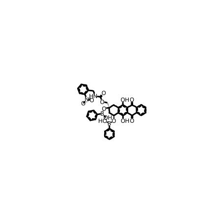 O=C(NCc1ccccc1[N+](=O)[O-])OC[C@]1(OB(O)c2ccccc2)Cc2c(O)c3c(c(O)c2[C@@H](OB(O)c2ccccc2)C1)C(=O)c1ccccc1C3=O